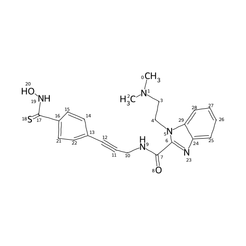 CN(C)CCn1c(C(=O)NCC#Cc2ccc(C(=S)NO)cc2)nc2ccccc21